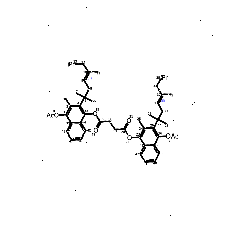 CC(=O)Oc1c(C)c(C(C)(C)C/C=C(\C)CC(C)C)c(OC(=O)CCC(=O)Oc2c(C)c(C(C)(C)C/C=C(\C)CC(C)C)c(OC(C)=O)c3ccccc23)c2ccccc12